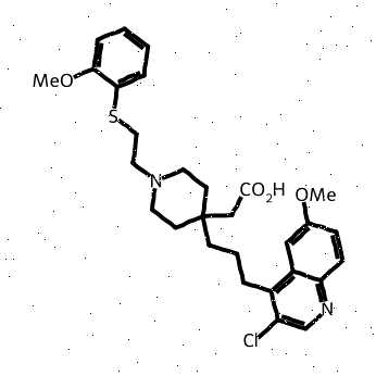 COc1ccc2ncc(Cl)c(CCCC3(CC(=O)O)CCN(CCSc4ccccc4OC)CC3)c2c1